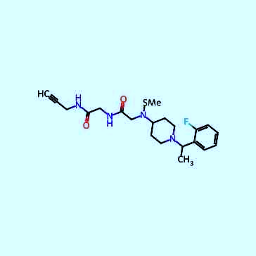 C#CCNC(=O)CNC(=O)CN(SC)C1CCN(C(C)c2ccccc2F)CC1